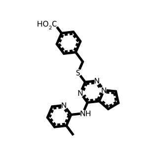 Cc1cccnc1Nc1nc(SCc2ccc(C(=O)O)cc2)nn2cccc12